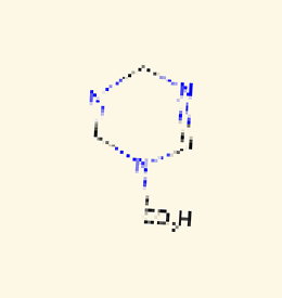 O=C(O)N1C=NCN=C1